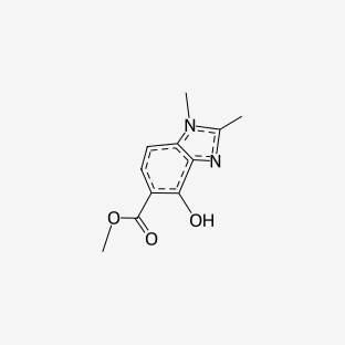 COC(=O)c1ccc2c(nc(C)n2C)c1O